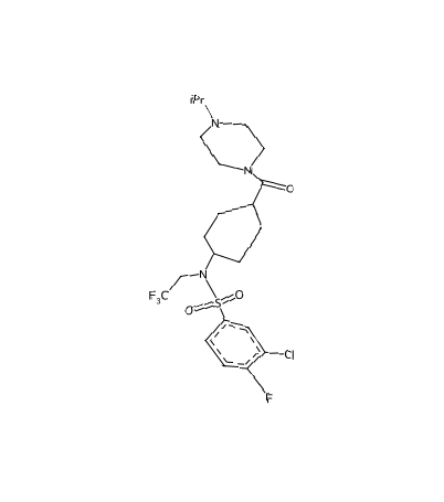 CC(C)N1CCN(C(=O)C2CCC(N(CC(F)(F)F)S(=O)(=O)c3ccc(F)c(Cl)c3)CC2)CC1